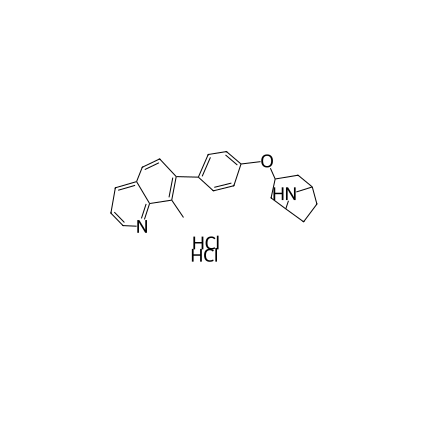 Cc1c(-c2ccc(OC3CC4CCC(C3)N4)cc2)ccc2cccnc12.Cl.Cl